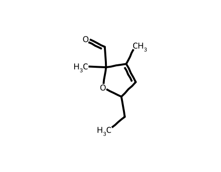 CCC1C=C(C)C(C)(C=O)O1